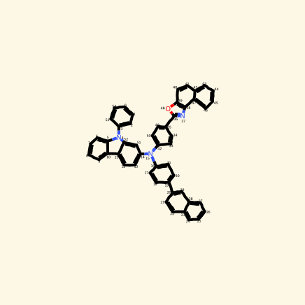 c1ccc(-n2c3ccccc3c3ccc(N(c4ccc(-c5ccc6ccccc6c5)cc4)c4ccc(-c5nc6c(ccc7ccccc76)o5)cc4)cc32)cc1